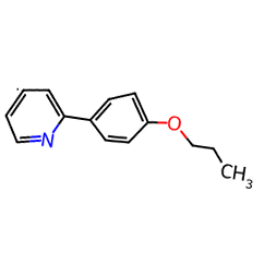 CCCOc1ccc(-c2c[c]ccn2)cc1